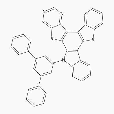 c1ccc(-c2cc(-c3ccccc3)cc(-n3c4ccccc4c4c5sc6ccccc6c5c5c6ncncc6sc5c43)c2)cc1